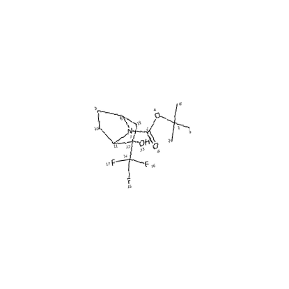 CC(C)(C)OC(=O)N1C2CCC1C(O)(C(F)(F)F)C2